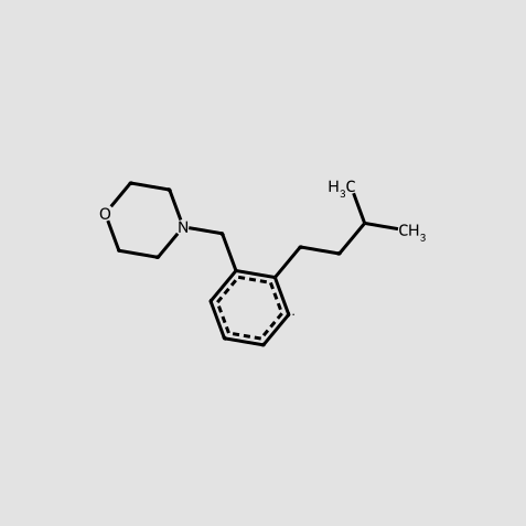 CC(C)CCc1[c]cccc1CN1CCOCC1